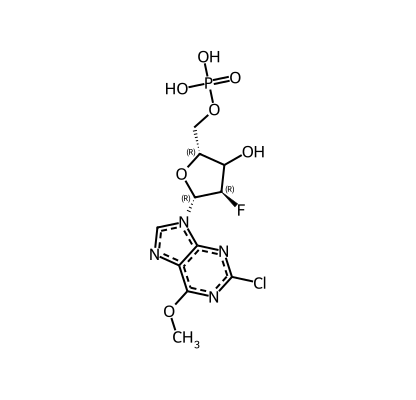 COc1nc(Cl)nc2c1ncn2[C@@H]1O[C@H](COP(=O)(O)O)C(O)[C@H]1F